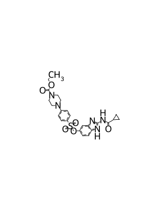 CCOC(=O)N1CCN(c2ccc(S(=O)(=O)Oc3ccc4[nH]c(NC(=O)C5CC5)nc4c3)cc2)CC1